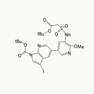 COc1ncc(-c2cnc3c(c2)c(I)cn3C(=O)OC(C)(C)C)cc1NS(=O)(=O)CC(=O)OC(C)(C)C